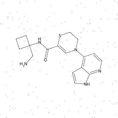 NCC1(NC(=O)C2=CN(c3ccnc4[nH]ccc34)CCS2)CCC1